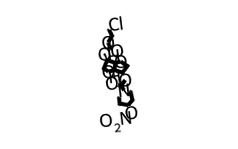 O=C(OCCCl)O[C@@H]1CO[C@H]2[C@H]1OC[C@H]2OC(=O)N1CCC(O[N+](=O)[O-])CC1